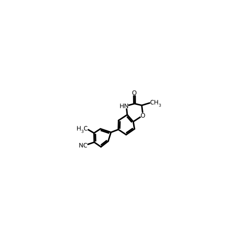 Cc1cc(-c2ccc3c(c2)NC(=O)C(C)O3)ccc1C#N